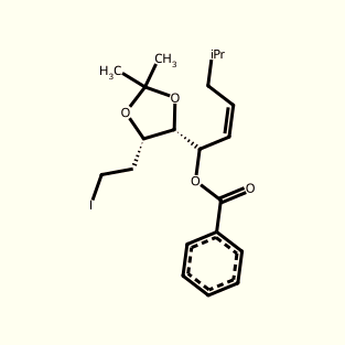 CC(C)C/C=C\C(OC(=O)c1ccccc1)[C@H]1OC(C)(C)O[C@H]1CCI